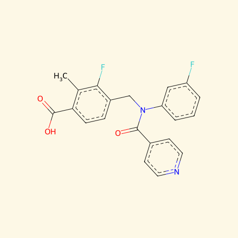 Cc1c(C(=O)O)ccc(CN(C(=O)c2ccncc2)c2cccc(F)c2)c1F